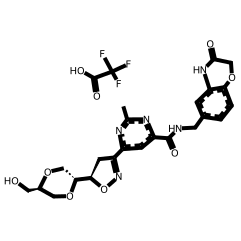 Cc1nc(C(=O)NCc2ccc3c(c2)NC(=O)CO3)cc(C2=NO[C@@H]([C@H]3CO[C@H](CO)CO3)C2)n1.O=C(O)C(F)(F)F